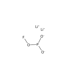 [Li+].[Li+].[O-]P([O-])OF